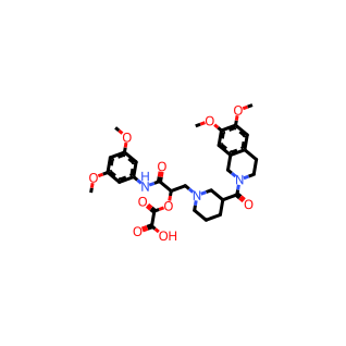 COc1cc(NC(=O)C(CN2CCCC(C(=O)N3CCc4cc(OC)c(OC)cc4C3)C2)OC(=O)C(=O)O)cc(OC)c1